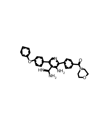 N=C(N)c1c(-c2ccc(Oc3ccccc3)cc2)cnc(-c2ccc(C(=O)N3CCOCC3)cc2)c1N